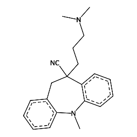 CN(C)CCCC1(C#N)Cc2ccccc2N(C)c2ccccc21